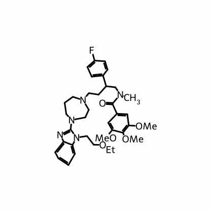 CCOCCn1c(N2CCCN(CCC(CN(C)C(=O)c3cc(OC)c(OC)c(OC)c3)c3ccc(F)cc3)CC2)nc2ccccc21